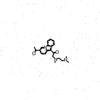 CC(=O)c1ccc2c(C(=O)CN(C)CCN(C)C)c3ccccc3n2c1